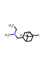 CCN(C)CC1CC[C@@H]2CC1C2(C)C